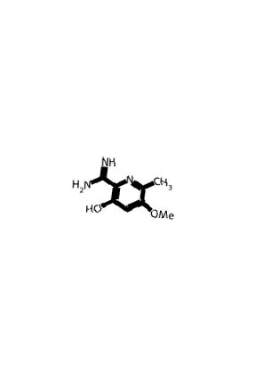 COc1cc(O)c(C(=N)N)nc1C